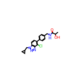 CC(O)C(=O)NCc1ccc(-c2ccc3c(nnn3CC3CC3)c2Cl)cc1